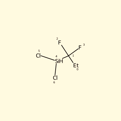 CCC(F)(F)[SiH](Cl)Cl